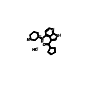 Cl.O=C(c1c[nH]c2nccc(N[C@@H]3CCCNC3)c12)C1CCCC1